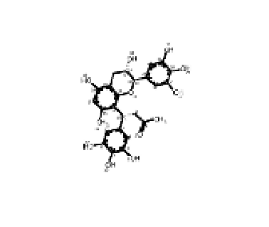 CC(=O)C[C@H](c1cc(O)c(O)c(O)c1)c1c(C)cc(O)c2c1O[C@H](c1cc(O)c(O)c(O)c1)[C@@H](O)C2